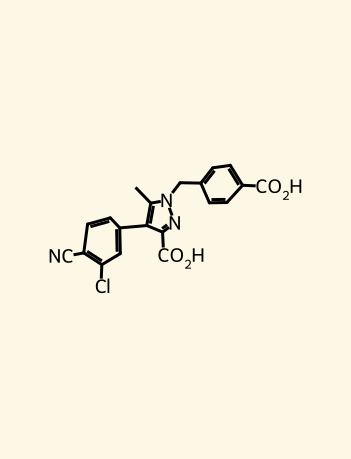 Cc1c(-c2ccc(C#N)c(Cl)c2)c(C(=O)O)nn1Cc1ccc(C(=O)O)cc1